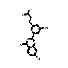 O=C(O)CCc1cc(S)cc(-c2nc(=O)c3ccc(Cl)cc3s2)n1